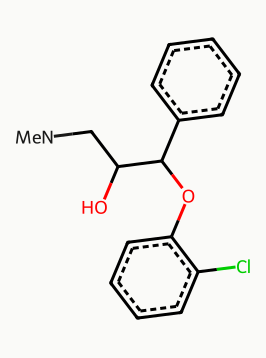 CNCC(O)C(Oc1ccccc1Cl)c1ccccc1